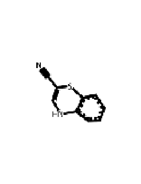 N#CC1=CNc2ccccc2S1